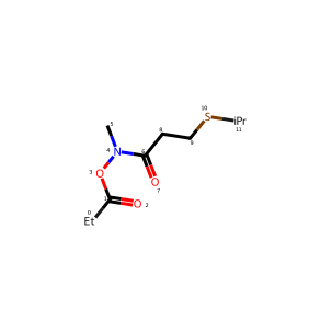 CCC(=O)ON(C)C(=O)CCSC(C)C